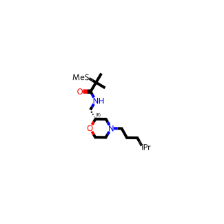 CSC(C)(C)C(=O)NC[C@@H]1CN(CCCC(C)C)CCO1